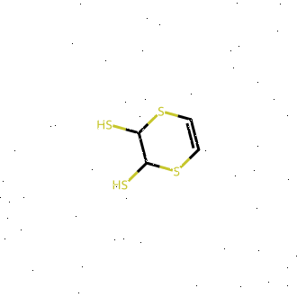 SC1SC=CSC1S